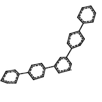 [c]1cc(-c2ccc(-c3ccccc3)cc2)cc(-c2ccc(-c3ccccc3)cc2)c1